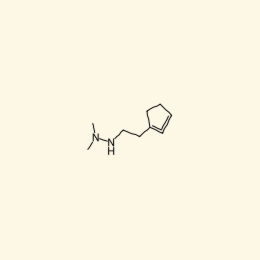 CN(C)NCCC1=C=CCC1